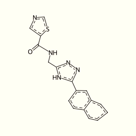 O=C(NCc1nnc(-c2ccc3ccccc3c2)[nH]1)c1cncs1